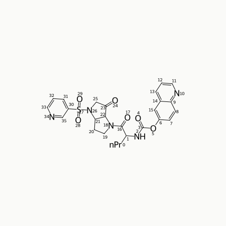 CCCC(NC(=O)Oc1ccc2ncccc2c1)C(=O)N1CCC2C1C(=O)CN2S(=O)(=O)c1cccnc1